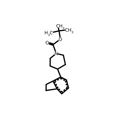 CC(C)(C)OC(=O)N1CCC(c2cccc3c2CC3)CC1